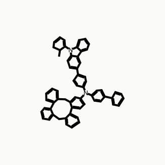 CC1CC=CC=C1n1c2ccccc2c2cc(-c3ccc(N(c4ccc(-c5ccccc5)cc4)c4ccc5c(c4)Cc4ccccc4-c4ccccc4Cc4ccccc4-5)cc3)ccc21